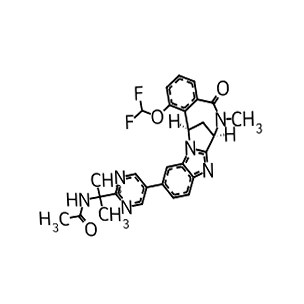 CC(=O)NC(C)(C)c1ncc(-c2ccc3nc4n(c3c2)[C@@H]2C[C@H]4N(C)C(=O)c3cccc(OC(F)F)c32)cn1